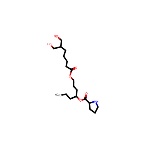 CCCCCCCCCCCCC(CCCOC(=O)CCCCC(CO)CO)OC(=O)C1CCCN1